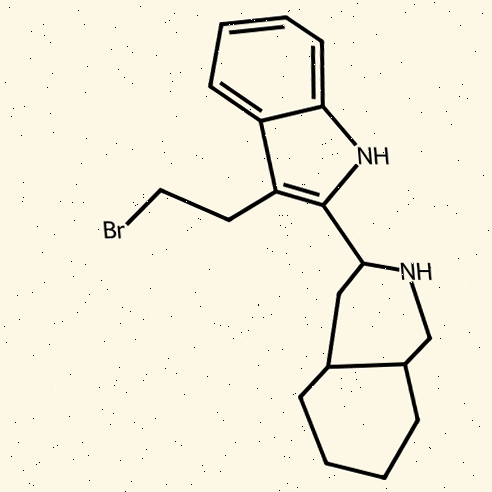 BrCCc1c(C2CC3CCCCC3CN2)[nH]c2ccccc12